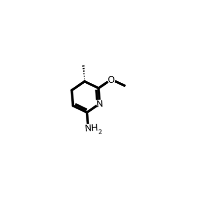 COC1=NC(N)=CC[C@@H]1C